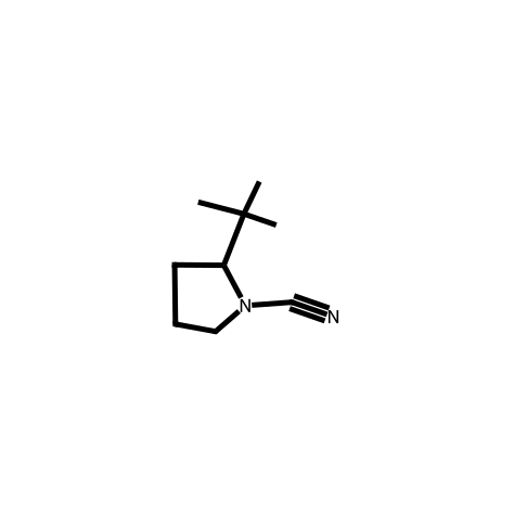 CC(C)(C)C1CCCN1C#N